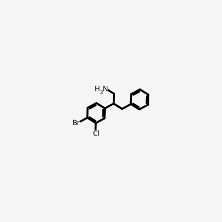 NCC(Cc1ccccc1)c1ccc(Br)c(Cl)c1